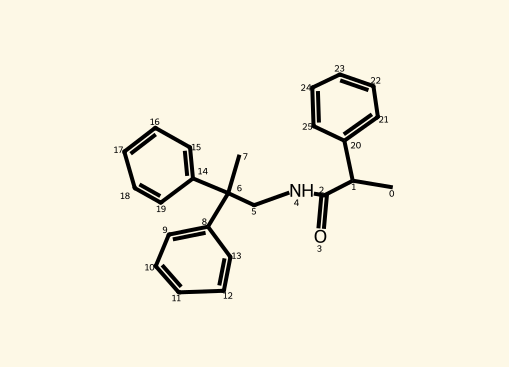 CC(C(=O)NCC(C)(c1ccccc1)c1ccccc1)c1ccccc1